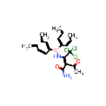 C=C/C=C\C(=C/C=C)B(N/C(=C(/C(C)=O)C(N)=O)C(Cl)(Cl)Cl)C(/C=C\C)=C/C=C